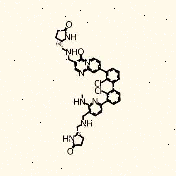 CNc1nc(-c2cccc(-c3cccc(-c4ccn5c(=O)c(CNC[C@@H]6CCC(=O)N6)cnc5c4)c3Cl)c2Cl)ccc1CNC[C@H]1CCC(=O)N1